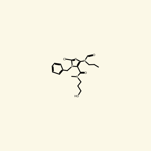 CCCN(C=O)c1nc(Cl)n(Cc2ccccc2)c1C(=O)N(C)CCCO